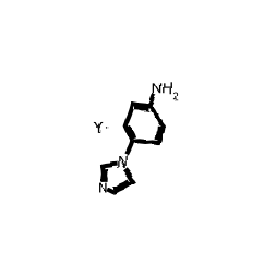 Nc1ccc(-n2ccnc2)cc1.[Y]